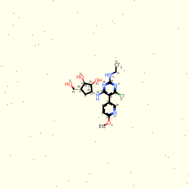 CCOc1ccc(-c2c(Cl)nc(NCC(F)(F)F)nc2N[C@@H]2C[C@H](CO)[C@@H](O)[C@H]2O)cn1